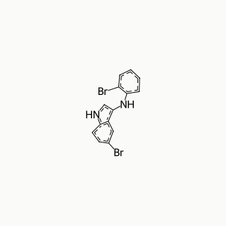 Brc1ccc2[nH]cc(Nc3ccccc3Br)c2c1